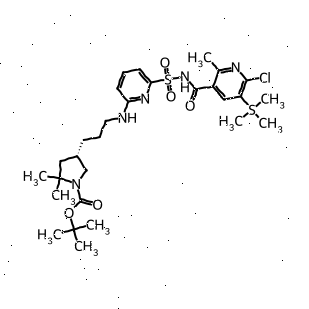 Cc1nc(Cl)c(S(C)(C)C)cc1C(=O)NS(=O)(=O)c1cccc(NCCC[C@@H]2CN(C(=O)OC(C)(C)C)C(C)(C)C2)n1